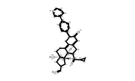 C=CC1C[C@H]2[C@H]3C(=C4CC(c5ccc(-c6cccnc6)cc5)C(=O)C=C4CC3C(=O)C3CC3)CC[C@]2(C)C1